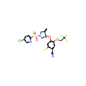 C=C1CN(S(=O)(=O)c2ccc(Cl)cn2)C[C@@H]1Oc1cc(F)c(C#N)cc1OCC(F)(F)F